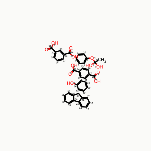 CC(O)(O)Oc1ccccc1.O=C(O)c1ccc(C(=O)O)cc1.O=C(O)c1cccc(C(=O)O)c1.Oc1ccccc1.c1ccc2c(c1)Cc1ccccc1-2